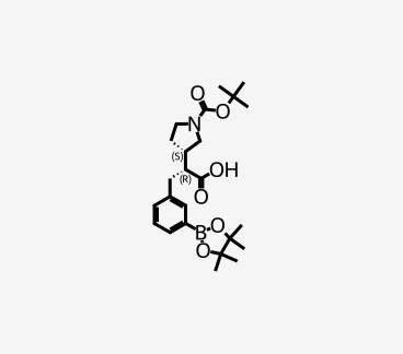 CC(C)(C)OC(=O)N1CC[C@@H]([C@@H](Cc2cccc(B3OC(C)(C)C(C)(C)O3)c2)C(=O)O)C1